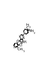 Cc1nccc(Oc2n[nH]c3nc(N4CCC(C)(N)CC4)cnc23)c1Cl